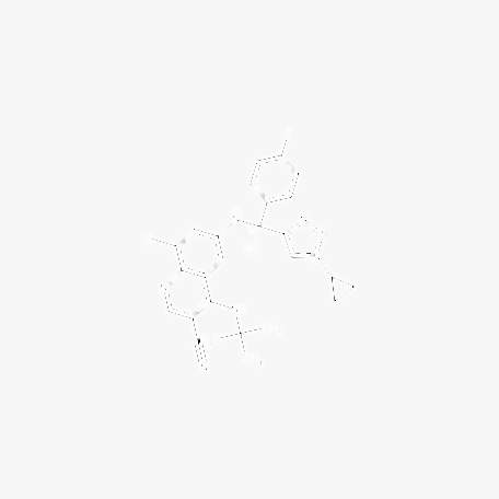 [2H][C@](Nc1cc(Cl)c2ncc(C#N)c(NC(C)(C)C)c2c1)(c1ccc(F)cc1)c1cn(C2CC2)nn1